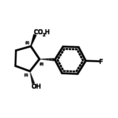 O=C(O)[C@@H]1CC[C@@H](O)[C@H]1c1ccc(F)cc1